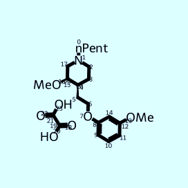 CCCCCN1CC[C@@H](CCOc2cccc(OC)c2)[C@@H](OC)C1.O=C(O)C(=O)O